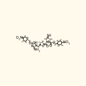 NC(=NC(=O)OCc1ccc([N+](=O)[O-])cc1)NC[C@H]1CCN(C(=O)[C@@H]2C[C@H](S)CN2C(=O)OCc2ccc([N+](=O)[O-])cc2)C1